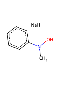 CN(O)c1ccccc1.[NaH]